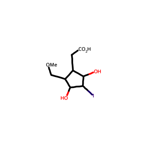 COCC1C(O)C(I)C(O)C1CC(=O)O